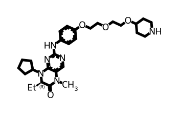 CC[C@@H]1C(=O)N(C)c2cnc(Nc3ccc(OCCOCCOC4CCNCC4)cc3)nc2N1C1CCCC1